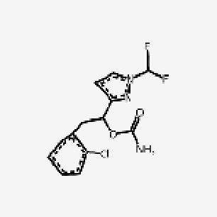 NC(=O)OC(Cc1ccccc1Cl)c1ccn(C(F)F)n1